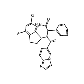 NC(=O)C(c1ccccc1)N(C(=O)c1ccc2nccn2c1)C1CCc2c(F)cc(Cl)cc21